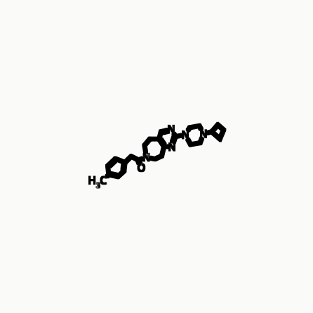 Cc1ccc(CC(=O)N2CCc3cnc(N4CCN(C5CCC5)CC4)nc3CC2)cc1